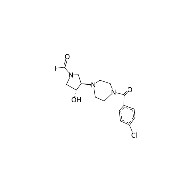 O=C(I)N1C[C@@H](O)[C@H](N2CCN(C(=O)c3ccc(Cl)cc3)CC2)C1